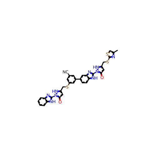 Cc1csc(SCc2cc(=O)n(-c3nc4cc(-c5cc(C#N)cc(SCc6cc(=O)n(-c7nc8ccccc8[nH]7)[nH]6)c5)ccc4[nH]3)[nH]2)n1